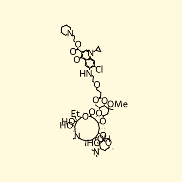 CC[C@H]1OC(=O)[C@H](C)[C@@H](OC2C[C@](C)(OC)[C@@H](OC(=O)CCOCCNc3cc4c(=O)c(C(=O)OCCN5CCCCC5)cn(C5CC5)c4cc3Cl)[C@H](C)O2)[C@H](C)[C@@H](OC2O[C@H](C)C[C@H](N(C)C)[C@H]2O)[C@](C)(O)C[C@@H](C)CN(C)[C@H](C)[C@@H](O)[C@]1(C)O